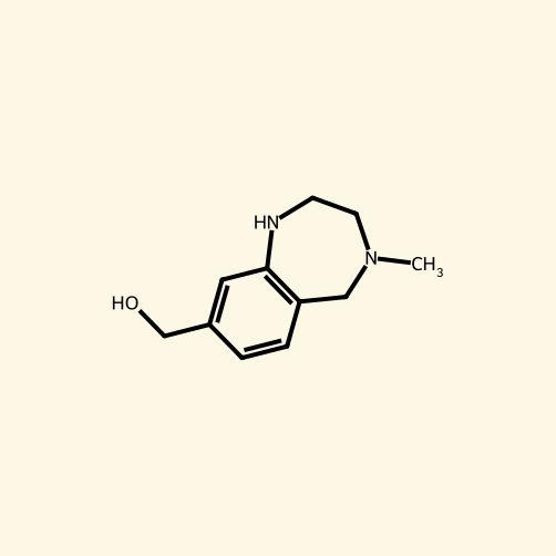 CN1CCNc2cc(CO)ccc2C1